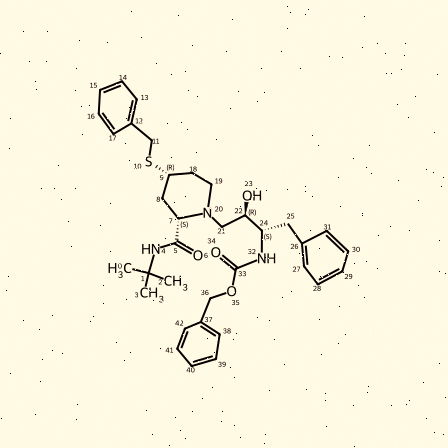 CC(C)(C)NC(=O)[C@@H]1C[C@H](SCc2ccccc2)CCN1C[C@@H](O)[C@H](Cc1ccccc1)NC(=O)OCc1ccccc1